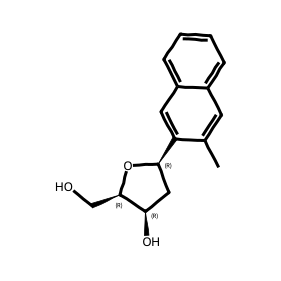 Cc1cc2ccccc2cc1[C@H]1C[C@@H](O)[C@@H](CO)O1